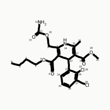 CCCCOC(=O)C1=C(COC(N)=O)NC(C)=C(C(=O)OC)C1c1cccc(Cl)c1Cl